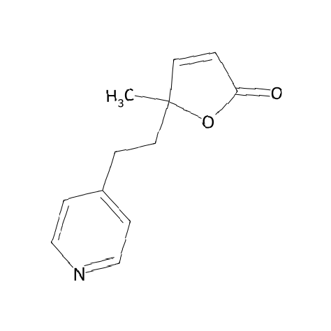 CC1(CCc2ccncc2)C=CC(=O)O1